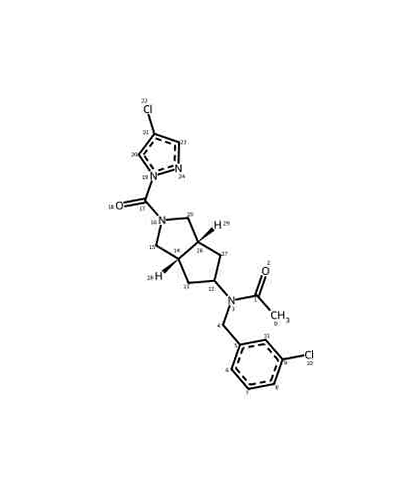 CC(=O)N(Cc1cccc(Cl)c1)C1C[C@@H]2CN(C(=O)n3cc(Cl)cn3)C[C@@H]2C1